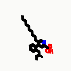 CCCCCCCCCCc1cnc(C(=O)O)cc1-c1ccccc1C[C@@H](C)CC